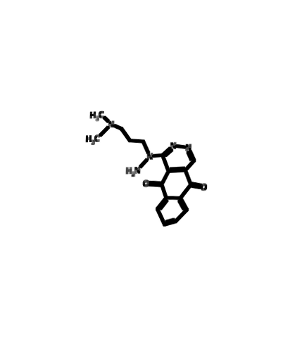 CN(C)CCCN(N)c1nncc2c1C(=O)c1ccccc1C2=O